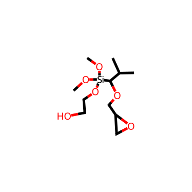 CO[Si](OC)(OCCO)C(OCC1CO1)C(C)C